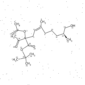 CC(=O)OC(C/C=C(/C)CCC[C@H](C)CO)(C(C)=O)C(=O)OC(C)(C)C